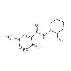 CC(=O)C(=CN(C)C)C(=O)NC1CCCCC1C